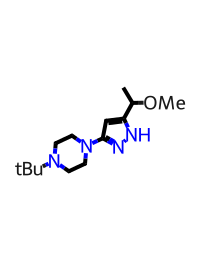 COC(C)c1cc(N2CCN(C(C)(C)C)CC2)n[nH]1